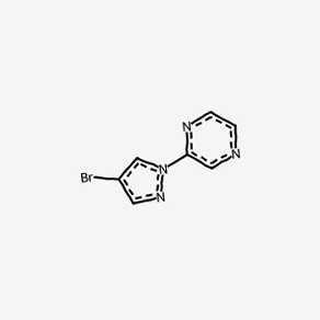 Brc1cnn(-c2cnccn2)c1